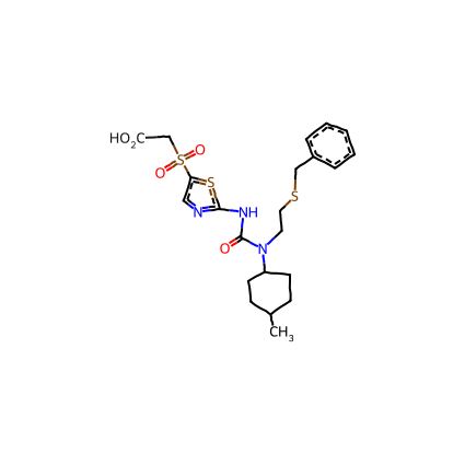 CC1CCC(N(CCSCc2ccccc2)C(=O)Nc2ncc(S(=O)(=O)CC(=O)O)s2)CC1